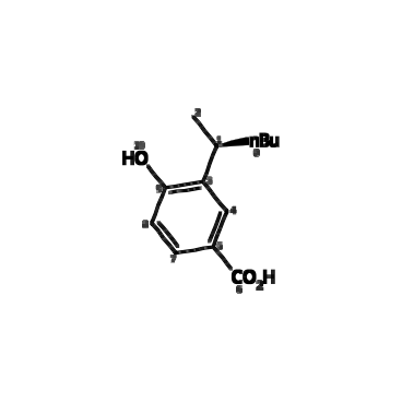 CCCC[C@H](C)c1cc(C(=O)O)ccc1O